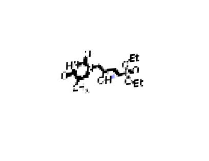 CCOP(=O)(/C=C/[C@@H](O)Cn1cc(C)c(=O)[nH]c1=O)OCC